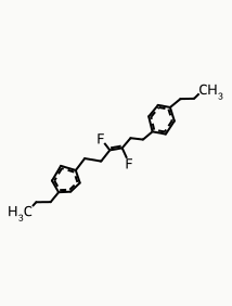 CCCc1ccc(CC/C(F)=C(\F)CCc2ccc(CCC)cc2)cc1